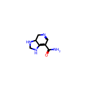 NC(=O)C1=C2NCNC2CN=C1